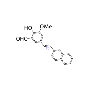 COc1cc(/C=C/c2ccc3ccccc3c2)cc(C=O)c1O